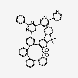 CC1(C)c2ccccc2-c2cc3c(cc21)S(=O)(=O)c1ccccc1-c1ccccc1-c1ccccc1-c1ccc(-c2cc(-c4ccc(-c5cccnc5)nc4)nc(-c4ccccc4)n2)cc1-3